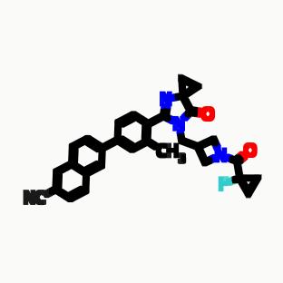 Cc1cc(-c2ccc3cc(C#N)ccc3c2)ccc1C1=NC2(CC2)C(=O)N1CC1CN(C(=O)C2(F)CC2)C1